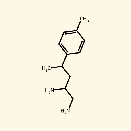 Cc1ccc(C(C)CC(N)CN)cc1